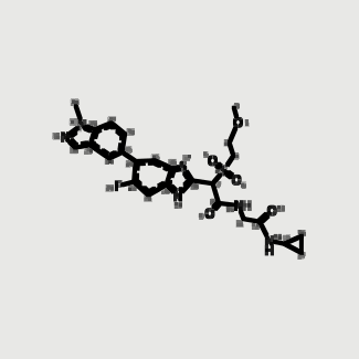 COCCS(=O)(=O)C(C(=O)NCC(=O)NC1CC1)c1nc2cc(F)c(-c3ccc4c(cnn4C)c3)cc2s1